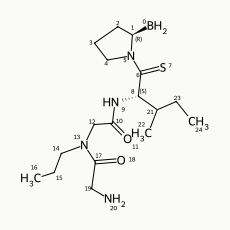 B[C@@H]1CCCN1C(=S)[C@@H](NC(=O)CN(CCC)C(=O)CN)C(C)CC